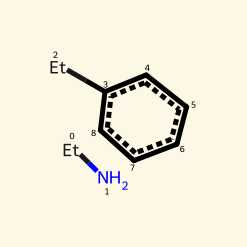 CCN.CCc1ccccc1